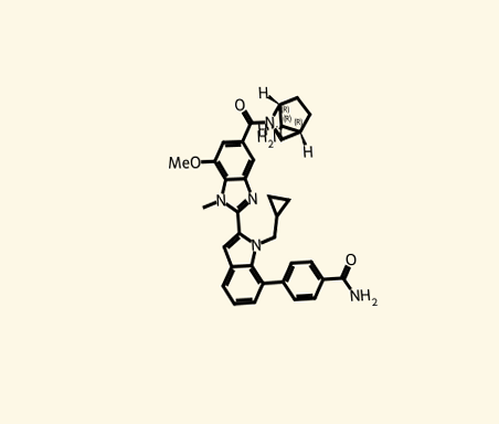 COc1cc(C(=O)N2C[C@H]3CC[C@@H]2[C@@H]3N)cc2nc(-c3cc4cccc(-c5ccc(C(N)=O)cc5)c4n3CC3CC3)n(C)c12